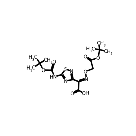 CC(C)(C)OC(=O)CO/N=C(/C(=O)O)c1nsc(NC(=O)OC(C)(C)C)n1